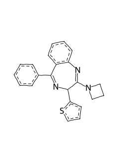 c1ccc(C2=NC(c3cccs3)C(N3CCC3)=Nc3ccccc32)cc1